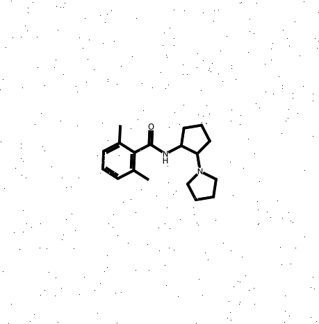 Cc1cccc(C)c1C(=O)NC1CCCC1N1CCCC1